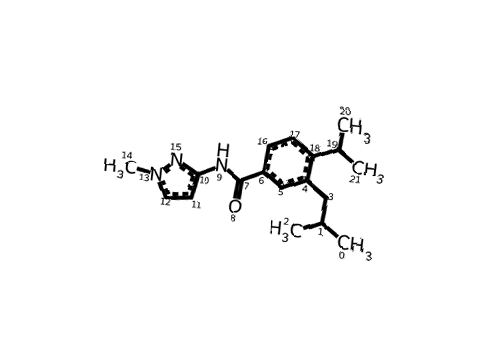 CC(C)Cc1cc(C(=O)Nc2ccn(C)n2)ccc1C(C)C